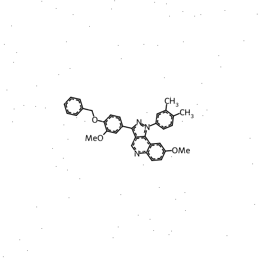 COc1ccc2ncc3c(-c4ccc(OCc5ccccc5)c(OC)c4)nn(-c4ccc(C)c(C)c4)c3c2c1